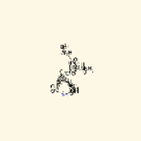 COc1cc2cc(c1Cl)N(C)C(=O)C[C@H](OC(=O)[C@H](C)N(C)C(=O)c1ccc(NC(=O)[C@H](CCCNC(N)=O)NC(=O)[C@@H](NC(=O)CCCCCNC(=O)C(CBr)CBr)C(C)C)cc1Cl)[C@]1(C)O[C@H]1[C@H](C)[C@@H]1C[C@@](O)(NC(=O)O1)[C@H](OC)/C=C/C=C(\C)C2